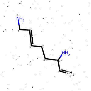 C=CC(N)CCC=CCN